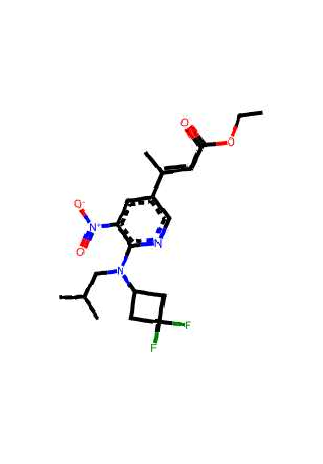 CCOC(=O)/C=C(\C)c1cnc(N(CC(C)C)C2CC(F)(F)C2)c([N+](=O)[O-])c1